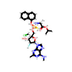 CNc1nc(C)nc2c1ncn2[C@@H]1O[C@](CCl)(CO[P@@](=S)(N[C@H](C)C(=O)OC(C)C)Oc2cccc3ccccc23)[C@@H](O)[C@@H]1F